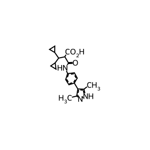 Cc1n[nH]c(C)c1-c1ccc(NC(=O)C(C(=O)O)C(C2CC2)C2CC2)cc1